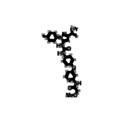 CCCC(I)c1cc(NC(=O)Nc2ccc(Oc3ccnc(NC(=O)COC)c3)cc2)n(-c2ccc(C)cc2)n1